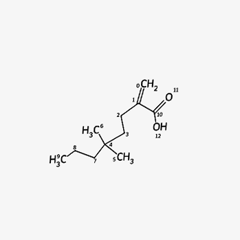 C=C(CCC(C)(C)CCC)C(=O)O